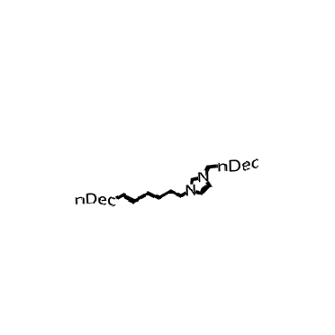 CCCCCCCCCCCCCCCCN1C=CN(CCCCCCCCCCC)C1